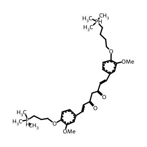 COc1cc(/C=C/C(=O)CC(=O)/C=C/c2ccc(OCCC[PH](C)(C)C)c(OC)c2)ccc1OCCCC[PH](C)(C)C